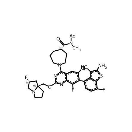 CC(=O)N(C)C(=O)[C@H]1CCCN(c2nc(OC[C@@]34CCCN3C[C@H](F)C4)nc3c(F)c(-c4ccc(F)c5sc(N)c(C#N)c45)c(Cl)cc23)CC1